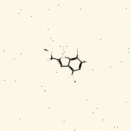 COC(=O)c1cc2c(OC)cc(F)c(F)c2[nH]1